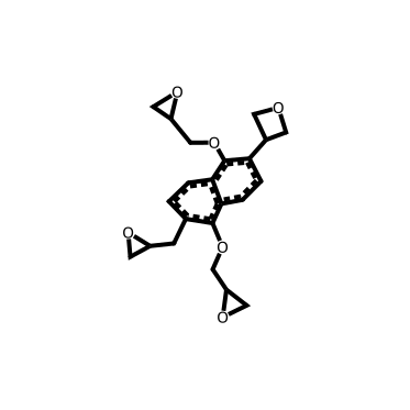 c1cc2c(OCC3CO3)c(C3COC3)ccc2c(OCC2CO2)c1CC1CO1